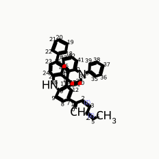 C=C(/C=C\C=C/C)c1ccc2c(c1)C1(c3cc(-c4ccccc4)ccc3N2)c2ccccc2N(c2ccccc2)c2ccccc21